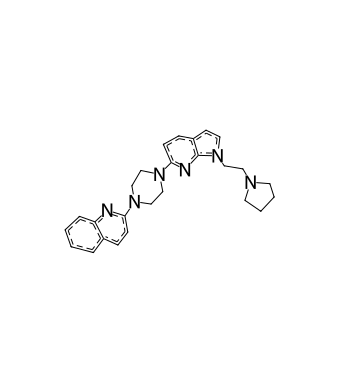 c1ccc2nc(N3CCN(c4ccc5ccn(CCN6CCCC6)c5n4)CC3)ccc2c1